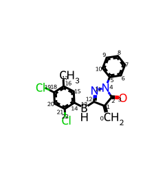 C=C1C(=O)N(c2ccccc2)N=C1Bc1cc(C)c(Cl)cc1Cl